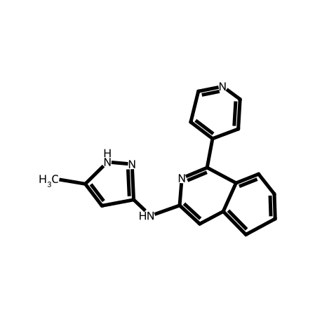 Cc1cc(Nc2cc3ccccc3c(-c3ccncc3)n2)n[nH]1